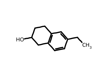 CCc1ccc2c(c1)CCC(O)C2